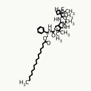 CCCCCCCCCCCCCCCC(=O)OC[C@@H](NC(=O)N1CC2=C(NN(C)C2NC(=O)C2([Si](C)(C)C)CCC2)C1(C)C)c1ccccc1